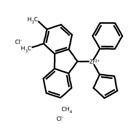 C.Cc1ccc2c(c1C)-c1ccccc1[CH]2[Zr+2]([C]1=CC=CC1)[c]1ccccc1.[Cl-].[Cl-]